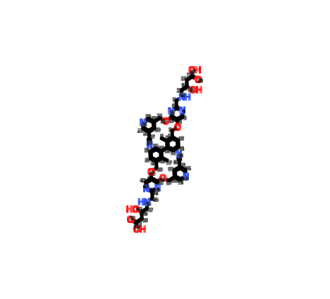 Cc1c(COc2cnc(CNC[C@@H](O)CC(=O)O)nc2OCc2cncc(C#N)c2)cccc1-c1cccc(COc2cnc(CNC[C@@H](O)CC(=O)O)nc2OCc2cncc(C#N)c2)c1C